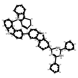 C1=Cc2c(c3ccccc3n2-c2cccc3oc4ccc(-c5ccc6sc7cc(C8N=C(c9ccccc9)NC(c9ccccc9)N8)ccc7c6c5)cc4c23)CC1